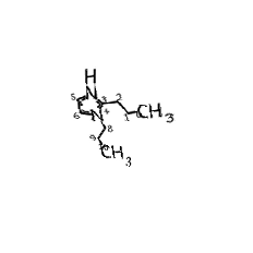 CCCc1[nH]cc[n+]1CCC